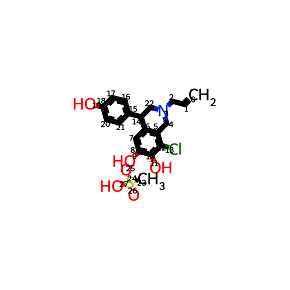 C=CCN1Cc2c(cc(O)c(O)c2Cl)C(c2ccc(O)cc2)C1.CS(=O)(=O)O